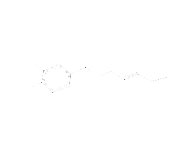 Cc1cc(COC/C=C/CI)ccc1F